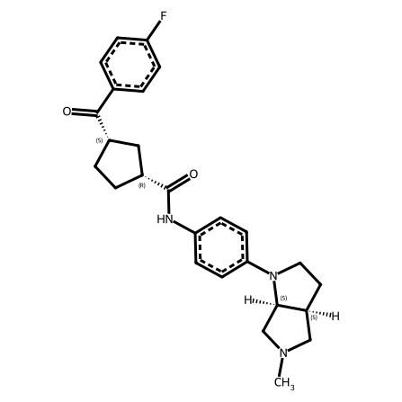 CN1C[C@@H]2CCN(c3ccc(NC(=O)[C@@H]4CC[C@H](C(=O)c5ccc(F)cc5)C4)cc3)[C@@H]2C1